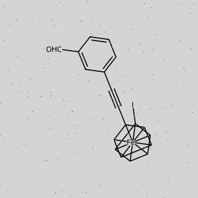 O=Cc1cccc(C#C[C]23[CH]4[CH]5[CH]6[CH]2[Fe]56432789[CH]3[CH]2[CH]7[C]8(I)[CH]39)c1